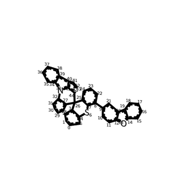 c1ccc2c(c1)Sc1c(-c3ccc4oc5ccccc5c4c3)cccc1C21c2ccccc2-n2c3ccccc3c3cccc1c32